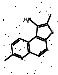 Cc1ccc2c(ccc3sc(C)c(N)c32)n1